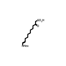 CCCCCCC=CCCCCCCCC(=O)CS(=O)(=O)O